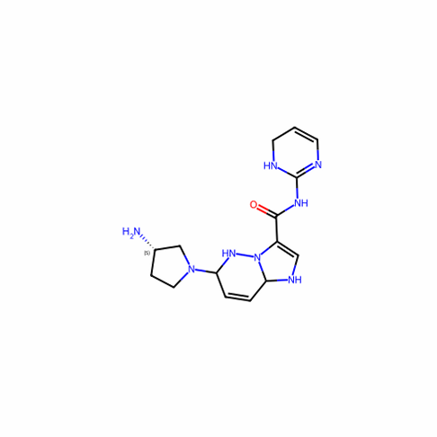 N[C@H]1CCN(C2C=CC3NC=C(C(=O)NC4=NC=CCN4)N3N2)C1